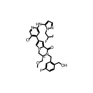 COC[C@H]1Cn2cc(-c3cc(Nc4ccnn4CC(F)F)ncc3Cl)cc2C(=O)N1Cc1cc(F)ccc1CO